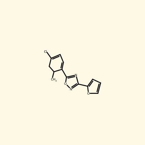 CC1CC(Cl)=CC=C1c1nc(-c2ccco2)no1